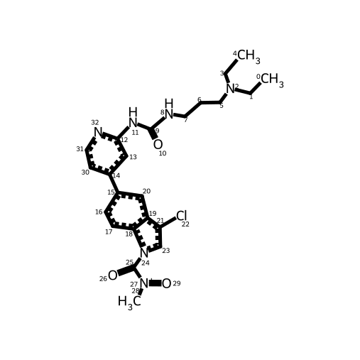 CCN(CC)CCCNC(=O)Nc1cc(-c2ccc3c(c2)c(Cl)cn3C(=O)[N+](C)=O)ccn1